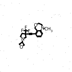 CN1CCOCc2c(C#CC3(C(F)(F)F)CCN(C4COC4)C3)cccc21